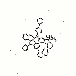 CC1(C)c2ccccc2-c2ccc(N(c3ccc(-c4ccccc4)cc3)c3cc4ccccc4c4c3c3ccc(-c5cccc6ccccc56)cc3n4-c3ccccc3)cc21